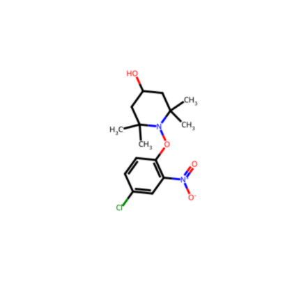 CC1(C)CC(O)CC(C)(C)N1Oc1ccc(Cl)cc1[N+](=O)[O-]